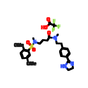 COc1ccc(OC)c(S(=O)(=O)N(C)CCCC(=O)N(C)CCc2ccc(C3=NCCN3)cc2)c1.O=C(O)C(F)(F)F